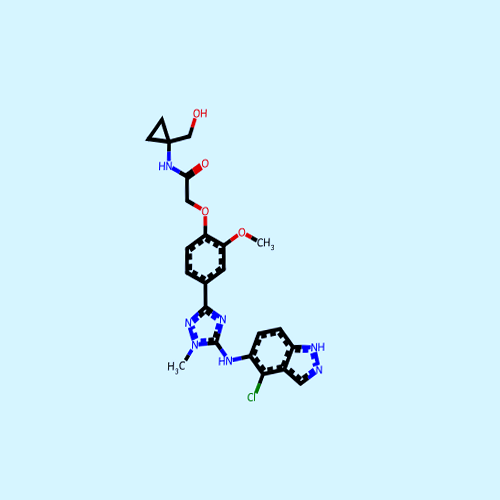 COc1cc(-c2nc(Nc3ccc4[nH]ncc4c3Cl)n(C)n2)ccc1OCC(=O)NC1(CO)CC1